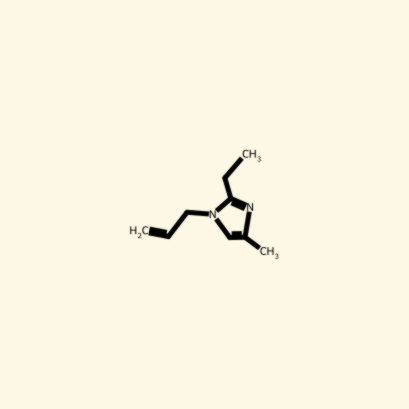 C=CCn1cc(C)nc1CC